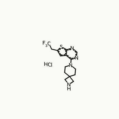 Cl.FC(F)(F)Cc1cc2c(N3CCC4(CC3)CNC4)ncnc2s1